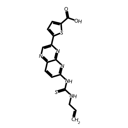 C=CCNC(=S)Nc1ccc2ncc(-c3ccc(C(=O)O)s3)nc2n1